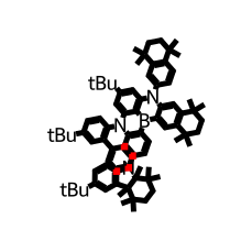 CC(C)(C)c1ccc(N2c3cc(N4c5ccc(C(C)(C)C)cc5C5(C)C(C)(C)CCC(C)(C)C45C)ccc3B3c4cc5c(cc4N(c4ccc6c(c4)C(C)(C)CCC6(C)C)c4cc(C(C)(C)C)cc2c43)C(C)(C)CCC5(C)C)c(-c2ccccc2)c1